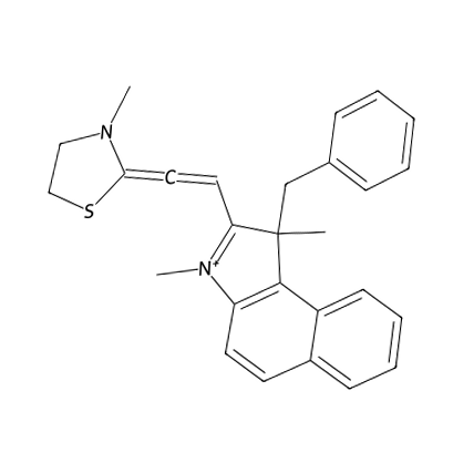 CN1CCSC1=C=CC1=[N+](C)c2ccc3ccccc3c2C1(C)Cc1ccccc1